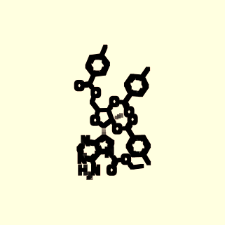 CCOC(=O)n1cc([C@@H]2OC(COC(=O)c3ccc(C)cc3)[C@@H](OC(=O)c3ccc(C)cc3)[C@@]2(C)OC(=O)c2ccc(C)cc2)c2ncnc(N)c21